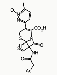 CC(=O)CC(=O)NC1(C=S)C(=O)N2C(C(=O)O)=C(c3ccc(C)[n+]([O-])n3)CS[C@H]21